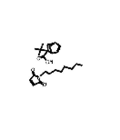 CC(C)(C)C1(C(=O)O)CC2C=CC1C2.CCCCCCCCN1C(=O)C=CC1=O